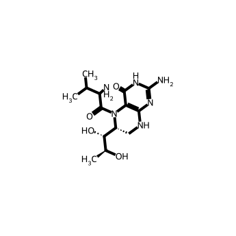 CC(C)C(N)C(=O)N1c2c(nc(N)[nH]c2=O)NC[C@@H]1[C@@H](O)[C@H](C)O